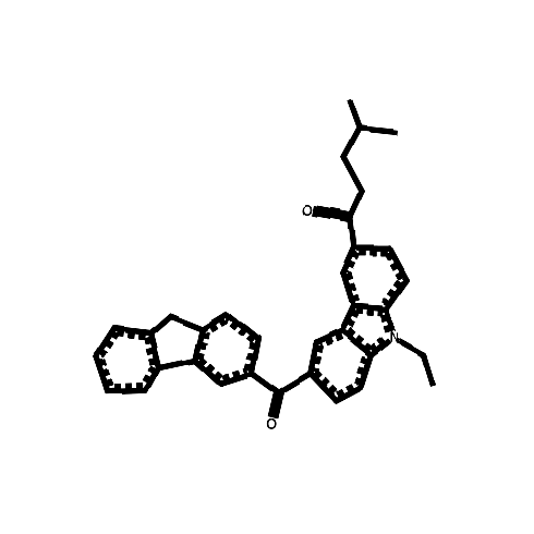 CCn1c2ccc(C(=O)CCC(C)C)cc2c2cc(C(=O)c3ccc4c(c3)-c3ccccc3C4)ccc21